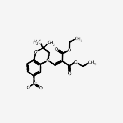 CCOC(=O)C(=CN1CC(C)(C)Oc2ccc([N+](=O)[O-])cc21)C(=O)OCC